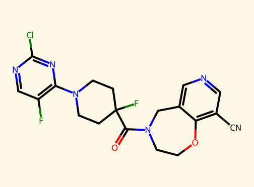 N#Cc1cncc2c1OCCN(C(=O)C1(F)CCN(c3nc(Cl)ncc3F)CC1)C2